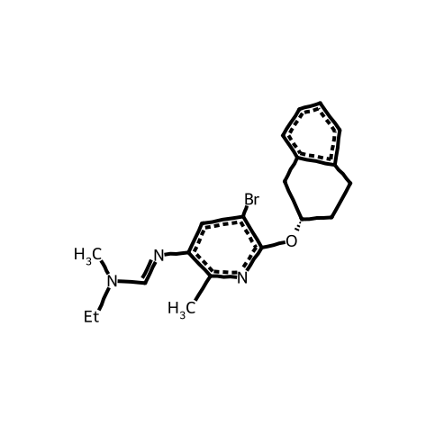 CCN(C)/C=N/c1cc(Br)c(O[C@H]2CCc3ccccc3C2)nc1C